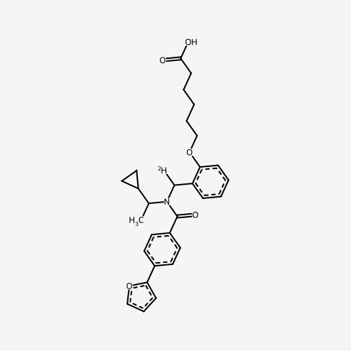 [2H]C(c1ccccc1OCCCCCC(=O)O)N(C(=O)c1ccc(-c2ccco2)cc1)C(C)C1CC1